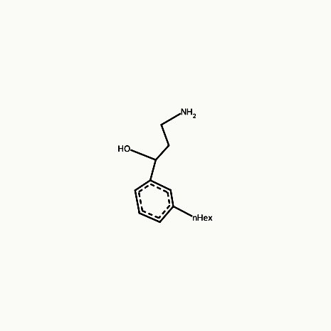 CCCCCCc1cccc(C(O)CCN)c1